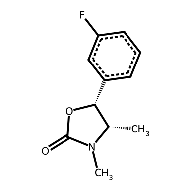 C[C@H]1[C@@H](c2cccc(F)c2)OC(=O)N1C